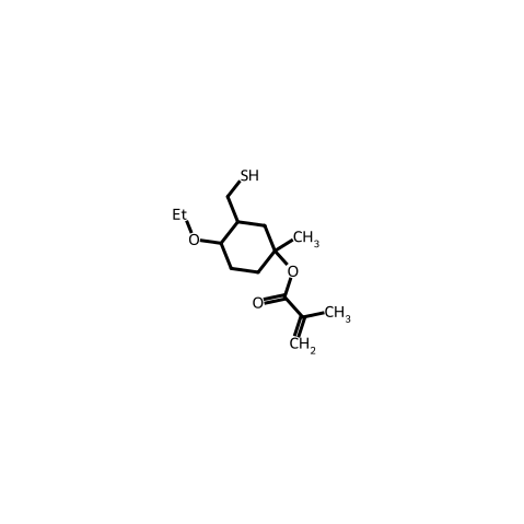 C=C(C)C(=O)OC1(C)CCC(OCC)C(CS)C1